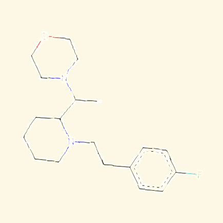 [CH2]C(C1CCCCN1CCc1ccc(F)cc1)N1CCOCC1